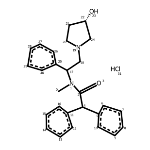 CN(C(=O)C(c1ccccc1)c1ccccc1)C(CN1CC[C@H](O)C1)c1ccccc1.Cl